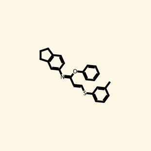 Cc1cccc(S/C=C/C(=N/c2ccc3c(c2)CCC3)Oc2ccccc2)c1